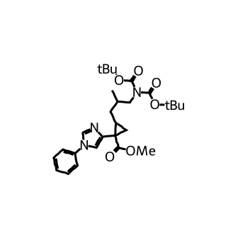 COC(=O)C1(c2cn(-c3ccccc3)cn2)CC1CC(C)CN(C(=O)OC(C)(C)C)C(=O)OC(C)(C)C